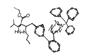 CCCN1NC(C(C)C)=C(C(=O)OCC)C1Cc1ccc(-c2ccccc2-c2nnn(C(c3ccccc3)(c3ccccc3)c3ccccc3)n2)cc1